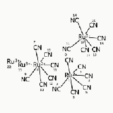 N#[C][Ru-2]([C]#N)([C]#N)([C]#N)([C]#N)[C]#N.N#[C][Ru-2]([C]#N)([C]#N)([C]#N)([C]#N)[C]#N.N#[C][Ru-2]([C]#N)([C]#N)([C]#N)([C]#N)[C]#N.[Ru+3].[Ru+3]